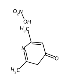 CC1=CC(=O)CC(C)=N1.O=[N+]([O-])O